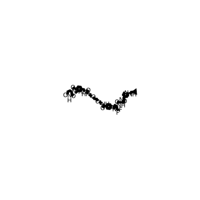 O=C1CCC(N2Cc3cc(CNC(=O)NCCOCCOCCNC(=O)c4ccc(-n5cc(NC(=O)c6coc(-c7ccnc(NCC8CC8)c7)n6)c(C(F)F)n5)cc4)ccc3C2=O)C(=O)N1